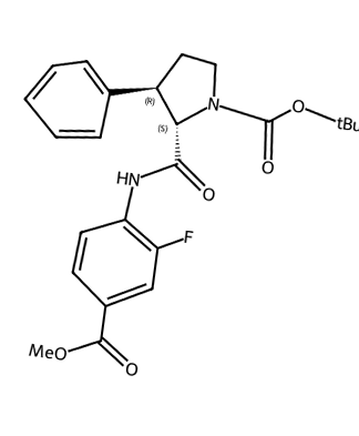 COC(=O)c1ccc(NC(=O)[C@@H]2[C@@H](c3ccccc3)CCN2C(=O)OC(C)(C)C)c(F)c1